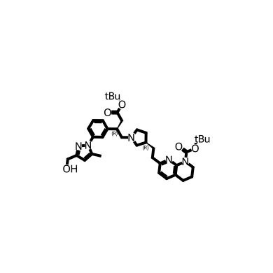 Cc1cc(CO)nn1-c1cccc([C@@H](CC(=O)OC(C)(C)C)CN2CC[C@@H](CCc3ccc4c(n3)N(C(=O)OC(C)(C)C)CCC4)C2)c1